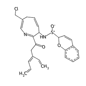 C=C/C=C(\C=C)CC(=O)/C1=N/C=C(/CCl)CC=CC1N[S+]([O-])C1C=Cc2ccccc2O1